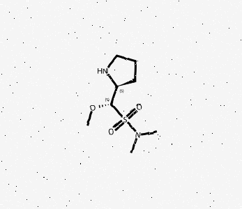 CO[C@H]([C@@H]1C[CH]CN1)S(=O)(=O)N(C)C